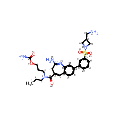 CCCN(CCCOC(N)=O)C(=O)C1=Cc2ccc(-c3cccc(S(=O)(=O)N4CC(CN)C4)c3)cc2N=C(N)C1